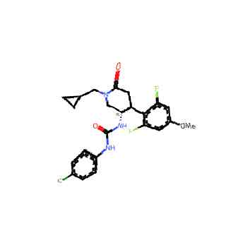 COc1cc(F)c(C2CC(=O)N(CC3CC3)C[C@H]2NC(=O)Nc2ccc(Cl)cc2)c(F)c1